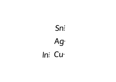 [Ag].[Cu].[In].[Sn]